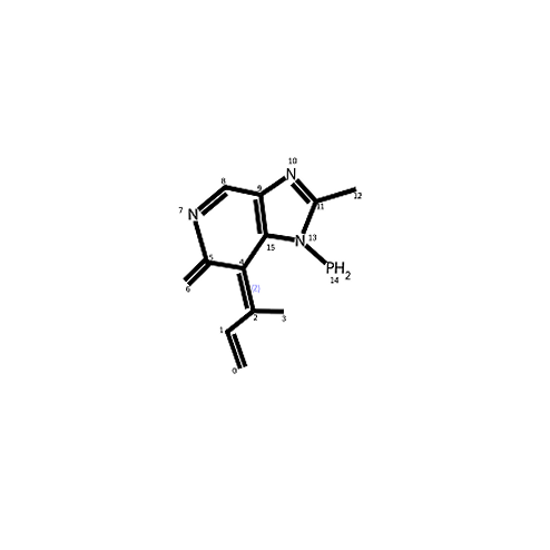 C=C/C(C)=c1\c(=C)ncc2nc(C)n(P)c12